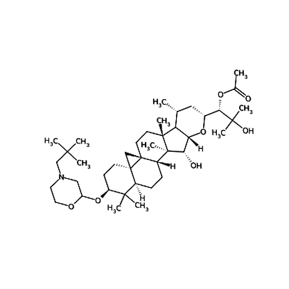 CC(=O)O[C@@H]([C@H]1C[C@@H](C)C2[C@H](O1)[C@H](O)[C@@]1(C)[C@@H]3CC[C@H]4C(C)(C)[C@@H](OC5CN(CC(C)(C)C)CCO5)CC[C@@]45C[C@@]35CC[C@]21C)C(C)(C)O